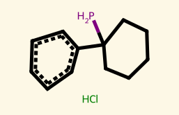 Cl.PC1(c2ccccc2)CCCCC1